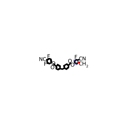 C=C(F)/C=C(\C=C(\F)CC#N)OC(=O)c1ccc(Cc2ccc(C(=O)Oc3cc(F)c(C#N)c(F)c3)cc2)cc1